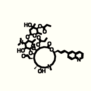 CCC(=O)O[C@@H]1CC(=O)O[C@@H](C/C=C/c2ccc3ncccc3c2)CCCN(C)C[C@H](O)[C@H](C)C[C@H](CC=O)[C@H](O[C@@H]2OC(C)[C@@H](O[C@H]3CC(C)(O)[C@@H](OC(=O)CC)C(C)O3)C(N(C)C)C2O)[C@H]1OC